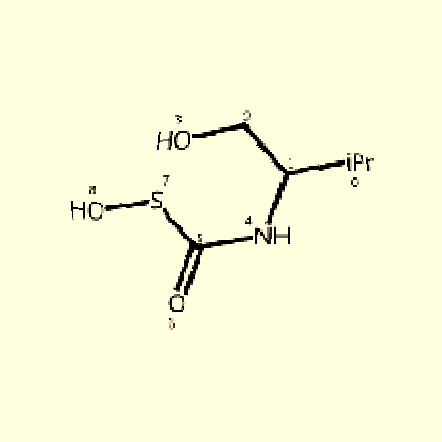 CC(C)C(CO)NC(=O)SO